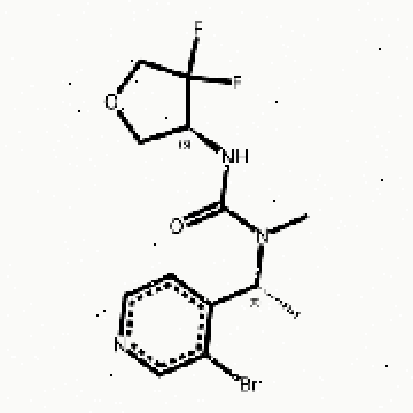 C[C@H](c1ccncc1Br)N(C)C(=O)N[C@H]1COCC1(F)F